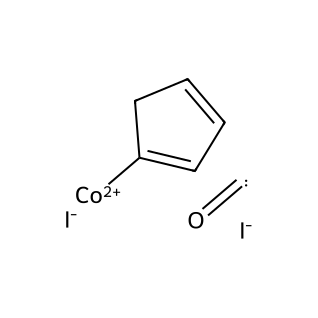 [C]=O.[Co+2][C]1=CC=CC1.[I-].[I-]